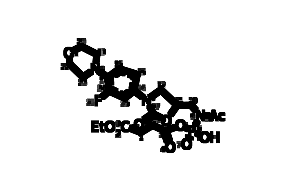 CCOC(=O)CCC(=O)OP(=O)(O)N(CC1CN(c2ccc(N3CCOCC3)c(F)c2)C(=O)O1)C(C)=O